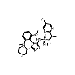 COc1cccc(OC)c1-n1c(NS(=N)(=O)[C@@H](C)[C@H](C)c2ncc(Cl)cn2)nnc1[C@@H]1COCCO1